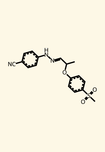 CC(C=NNc1ccc(C#N)cc1)Oc1ccc(S(C)(=O)=O)cc1